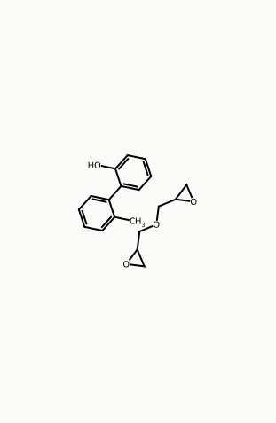 C(OCC1CO1)C1CO1.Cc1ccccc1-c1ccccc1O